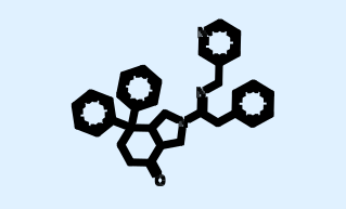 O=C1CCC(c2ccccc2)(c2ccccc2)C2CN(C(Cc3ccccc3)=NCc3cccnc3)CC12